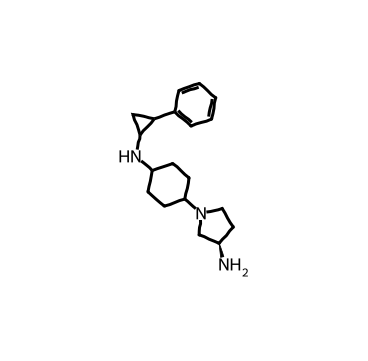 N[C@@H]1CCN(C2CCC(NC3CC3c3ccccc3)CC2)C1